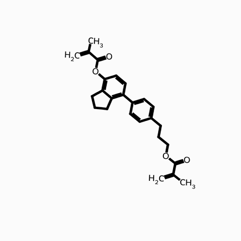 C=C(C)C(=O)OCCCc1ccc(-c2ccc(OC(=O)C(=C)C)c3c2CCC3)cc1